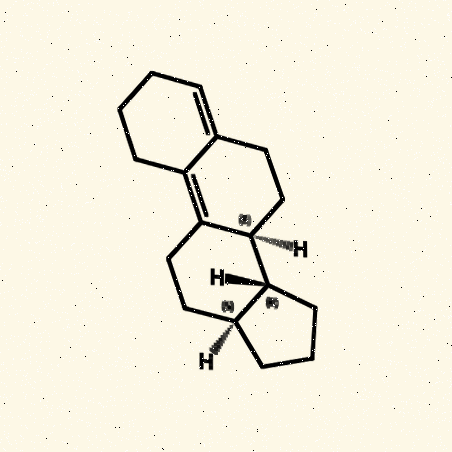 C1=C2CC[C@@H]3C(=C2CCC1)CC[C@@H]1CCC[C@H]13